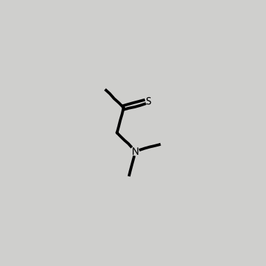 CC(=S)CN(C)C